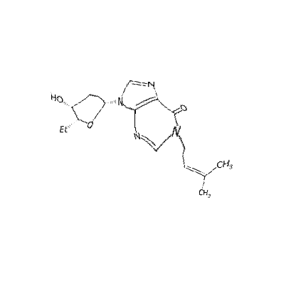 CC[C@H]1O[C@@H](n2cnc3c(=O)n(CC=C(C)C)cnc32)C[C@H]1O